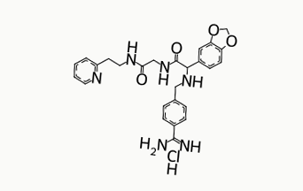 Cl.N=C(N)c1ccc(CNC(C(=O)NCC(=O)NCCc2ccccn2)c2ccc3c(c2)OCO3)cc1